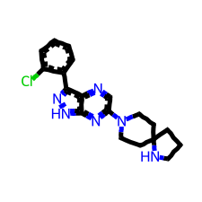 Clc1ccccc1-c1n[nH]c2nc(N3CCC4(CCCN4)CC3)cnc12